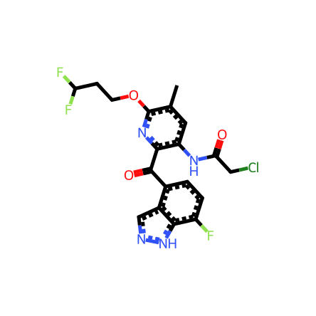 Cc1cc(NC(=O)CCl)c(C(=O)c2ccc(F)c3[nH]ncc23)nc1OCCC(F)F